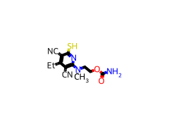 CCc1c(C#N)c(S)nc(N(C)CCOC(N)=O)c1C#N